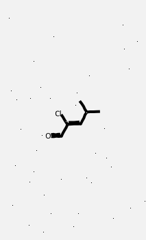 CC(C)/C=C(\Cl)C=O